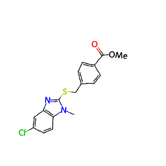 COC(=O)c1ccc(CSc2nc3cc(Cl)ccc3n2C)cc1